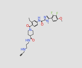 C#CCNCCCNC(=O)C1CCN(C(=O)c2ccc(NC(=O)c3ncc(-c4ccc(OC)c(F)c4F)n3C)cc2CC)CC1